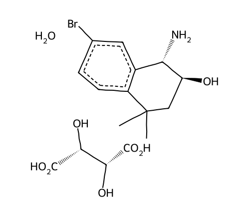 CC1(C)C[C@H](O)[C@@H](N)c2cc(Br)ccc21.O.O=C(O)[C@H](O)[C@@H](O)C(=O)O